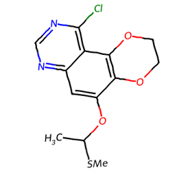 CSC(C)Oc1cc2ncnc(Cl)c2c2c1OCCO2